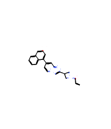 C=CC(=O)N1CC(c2cn3ccc(-c4cc(O)cc5ccccc45)cc3n2)C1